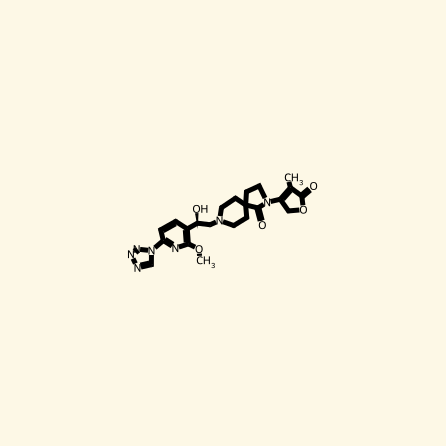 COc1nc(-n2cnnn2)ccc1[C@@H](O)CN1CCC2(CC1)CCN(C1=C(C)C(=O)OC1)C2=O